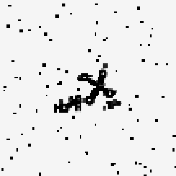 O=S(=O)([O-])[O-].OO.[Ti+2]